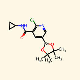 CC1(C)OB(c2cnc(Cl)c(C(=O)NC3CC3)c2)OC1(C)C